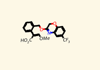 COC=C(C(=O)O)c1ccccc1COC1=Nc2cc(C(F)(F)F)ccc2OC1